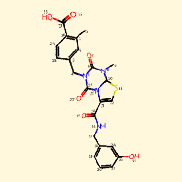 Cc1cc(CN2C(=O)N(C)C3SC=C(C(=O)NCc4cccc(O)c4)N3C2=O)ccc1C(=O)O